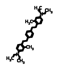 CCN(CC)c1ccc(CCc2ccc(CCc3ccc(N(CC)CC)cc3C)cc2)c(C)c1